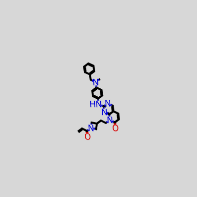 C=CC(=O)N1CC(CCn2c(=O)ccc3cnc(Nc4ccc(N(C)Cc5ccccc5)cc4)nc32)C1